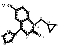 COc1ccc2c(c1)c(-c1cccs1)nc(=O)n2CC1CC1